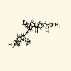 COCC(O)CN1CCC(Nc2cccc3c2cc(C#CCNc2ccc(S(C)(=O)=O)cc2OCC(F)(F)F)n3CC(F)(F)F)CC1